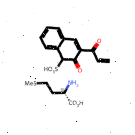 C=CC(=O)C1=Cc2ccccc2C(S(=O)(=O)O)C1=O.CSCC[C@H](N)C(=O)O